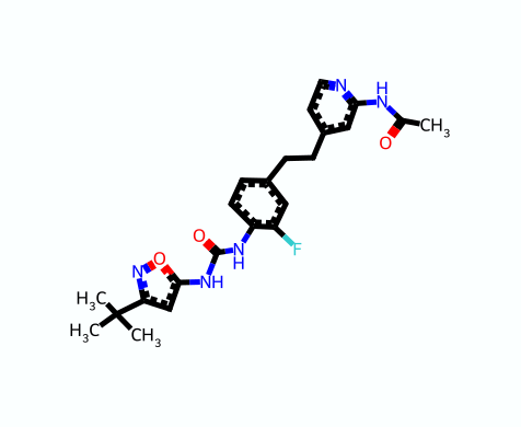 CC(=O)Nc1cc(CCc2ccc(NC(=O)Nc3cc(C(C)(C)C)no3)c(F)c2)ccn1